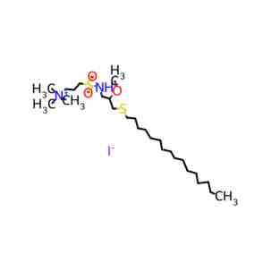 CCCCCCCCCCCCCCCCSCC(CNS(=O)(=O)CCC[N+](C)(C)C)OC.[I-]